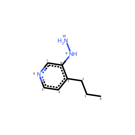 CCCc1ccncc1NN